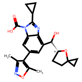 Cc1noc(C)c1-c1cc(C(O)[C@H]2CCC3(CC3)O2)c2nc(C3CC3)n(C(=O)O)c2c1